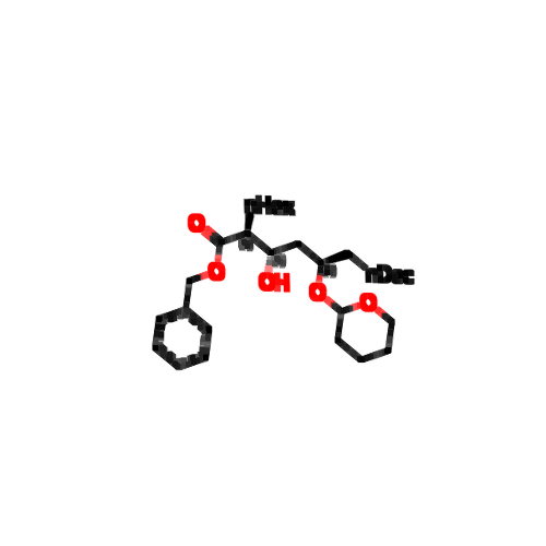 CCCCCCCCCCC[C@H](C[C@H](O)[C@H](CCCCCC)C(=O)OCc1ccccc1)OC1CCCCO1